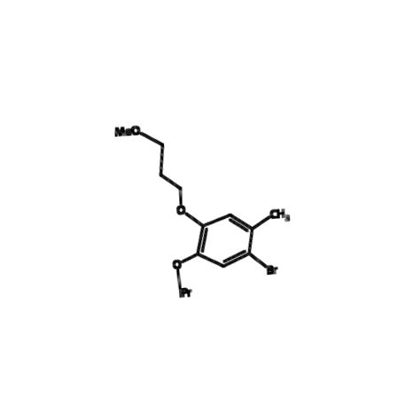 COCCCOc1cc(C)c(Br)cc1OC(C)C